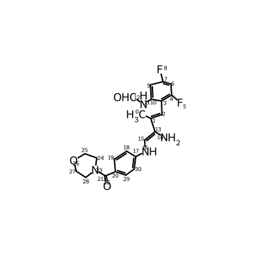 CC(=C\c1c(F)cc(F)cc1NC=O)/C(N)=C/Nc1ccc(C(=O)N2CCOCC2)cc1